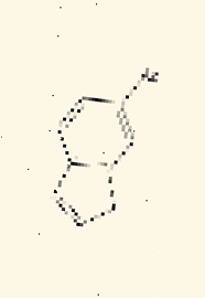 CC(=O)c1ccc2c(c1)C[C]=C2